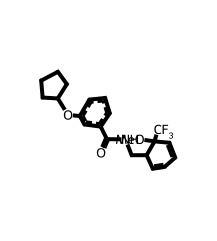 COC1(C(F)(F)F)C=CC=CC1CNC(=O)c1cccc(OC2CCCC2)c1